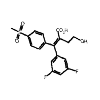 CS(=O)(=O)c1ccc(/C(=C(/CCO)C(=O)O)c2cc(F)cc(F)c2)cc1